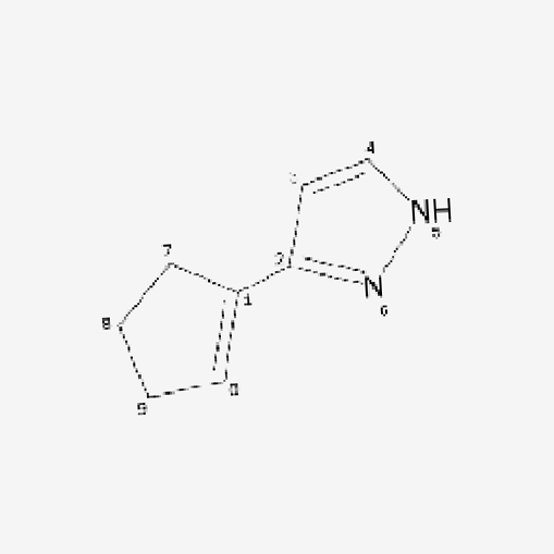 C1=C(c2cc[nH]n2)CCC1